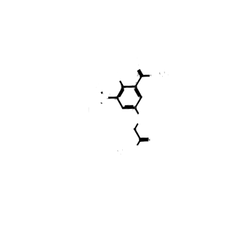 COC(=O)COc1cc(B(O)O)c(O)c(C(=O)OC)c1